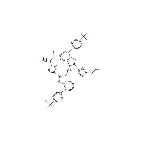 CCCc1ccc(C2=Cc3c(-c4ccc(C(C)(C)C)cc4)cccc3[CH]2[Ti+2][CH]2C(c3ccc(CCC)s3)=Cc3c(-c4ccc(C(C)(C)C)cc4)cccc32)s1.[Cl-].[Cl-]